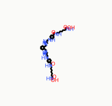 O=C(CCCCCCNC(=O)c1ccc(NCc2cn(Cc3ccccc3Cn3cc(CNc4ccc(C(=O)NCCCCCCC(=O)NO)cc4)nn3)nn2)cc1)NO